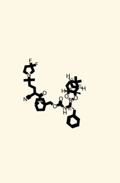 CC1(C)[C@@H]2C[C@H]3OB([C@H](Cc4ccccc4)NC(=O)OCC45CCC(CC4)N5C(=O)C(C#N)CCC(C)(C)N4CCC(F)(F)C4)O[C@@]3(C)[C@H]1C2